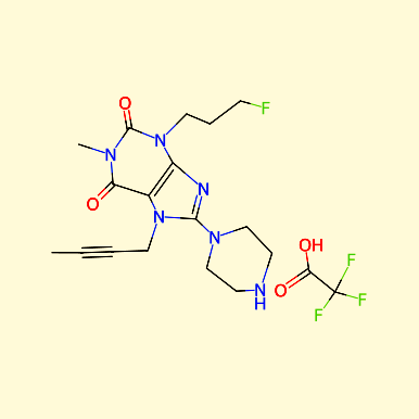 CC#CCn1c(N2CCNCC2)nc2c1c(=O)n(C)c(=O)n2CCCF.O=C(O)C(F)(F)F